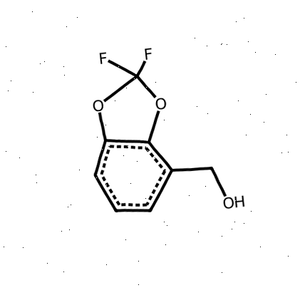 OCc1cccc2c1OC(F)(F)O2